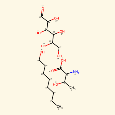 CC(O)C(N)C(=O)O.CCCCCCCCO.O=CC(O)C(O)C(O)C(O)CO